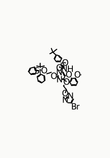 COc1ccccc1Oc1c(NS(=O)(=O)c2ccc(C(C)(C)C)cc2)nc(OCCO[Si](c2ccccc2)(c2ccccc2)C(C)(C)C)nc1OCCOc1ncc(Br)cn1